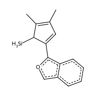 CC1=C(C)C([SiH3])C(c2occ3ccccc23)=C1